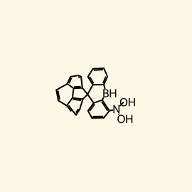 ON(O)c1cccc2c1Bc1ccccc1C21c2cccc3ccc4cccc1c4c23